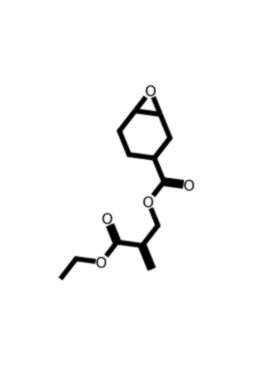 C=C(COC(=O)C1CCC2OC2C1)C(=O)OCC